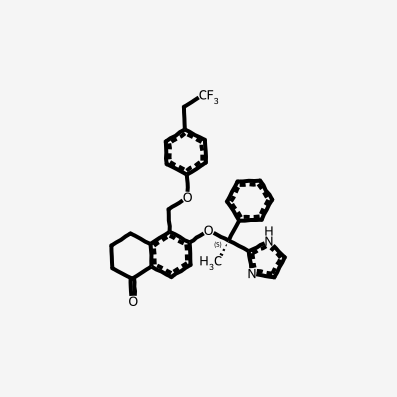 C[C@](Oc1ccc2c(c1COc1ccc(CC(F)(F)F)cc1)CCCC2=O)(c1ccccc1)c1ncc[nH]1